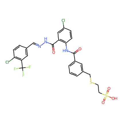 O=C(Nc1ccc(Cl)cc1C(=O)NN=Cc1ccc(Cl)c(C(F)(F)F)c1)c1cccc(CSCCS(=O)(=O)O)c1